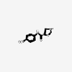 O=C(Nc1ccc([N+](=O)[O-])cc1)[C@H]1CNCS1